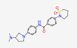 CN(C)C1CCN(c2ccc(NC(=O)c3ccc(N4CCCCS4(=O)=O)cc3)cc2)C1